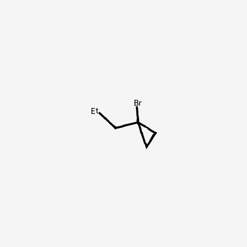 CCCC1(Br)CC1